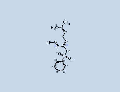 CC(C)=CC/C=C(\C=C\Cl)CS(=O)(=O)c1ccccc1